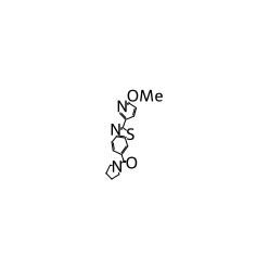 COc1ccc(-c2nc3ccc(C(=O)N4CCCC4)cc3s2)cn1